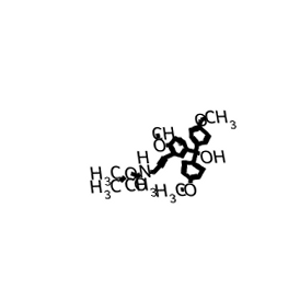 COc1ccc(C(O)(c2ccc(OC)cc2)c2ccc(OC)c(C#CCNC(=O)OC(C)(C)C)c2)cc1